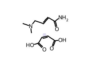 CN(C)CC=CC(N)=O.O=C(O)/C=C\C(=O)O